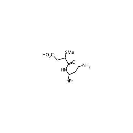 CCCC(CCN)NC(=O)C(CC(=O)O)SC